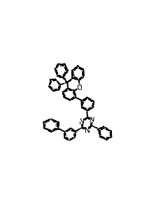 c1ccc(-c2cccc(-c3nc(-c4ccccc4)nc(-c4cccc(-c5cccc6c5Oc5ccccc5C6(c5ccccc5)c5ccccc5)c4)n3)c2)cc1